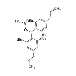 C=CCc1cc(C(C)(C)C)c(C(OB(O)O)c2c(C(C)(C)C)cc(CC=C)cc2C(C)(C)C)c(C(C)(C)C)c1